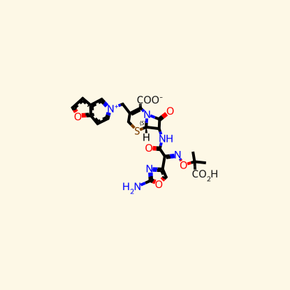 CC(C)(ON=C(C(=O)NC1C(=O)N2C(C(=O)[O-])=C(C[n+]3ccc4occc4c3)CS[C@@H]12)c1coc(N)n1)C(=O)O